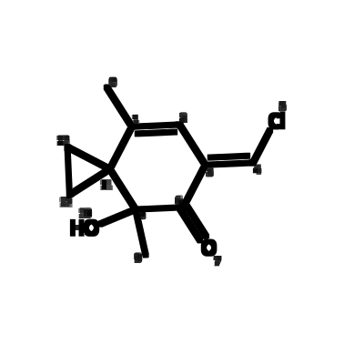 CC1=C/C(=C\Cl)C(=O)C(C)(O)C12CC2